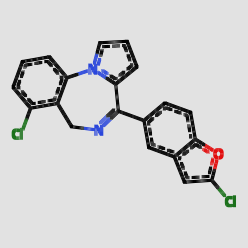 Clc1cc2cc(C3=NCc4c(Cl)cccc4-n4cccc43)ccc2o1